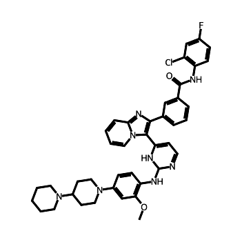 COc1cc(N2CCC(N3CCCCC3)CC2)ccc1NC1N=CC=C(c2c(-c3cccc(C(=O)Nc4ccc(F)cc4Cl)c3)nc3ccccn23)N1